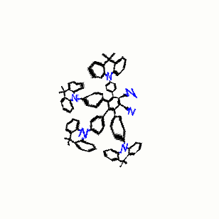 CC1(C)c2ccccc2N(c2ccc(-c3c(C#N)c(C#N)c(-c4ccc(N5c6ccccc6C(C)(C)c6ccccc65)cc4)c(-c4ccc(N5c6ccccc6C(C)(C)c6ccccc65)cc4)c3-c3ccc(N4c5ccccc5C(C)(C)c5ccccc54)cc3)cc2)c2ccccc21